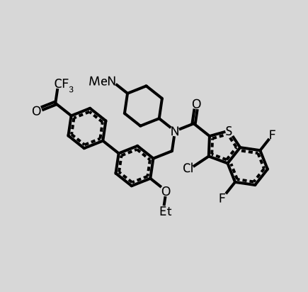 CCOc1ccc(-c2ccc(C(=O)C(F)(F)F)cc2)cc1CN(C(=O)c1sc2c(F)ccc(F)c2c1Cl)C1CCC(NC)CC1